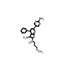 COCCC[S@@+]([O-])c1sc2nc(-c3cnc(N)nc3)cc(-c3ccccc3)c2c1N